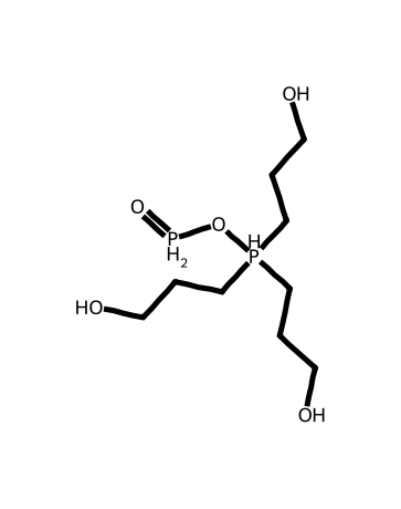 O=[PH2]O[PH](CCCO)(CCCO)CCCO